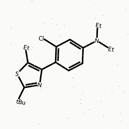 CCc1sc(C(C)(C)C)nc1-c1ccc(N(CC)CC)cc1Cl